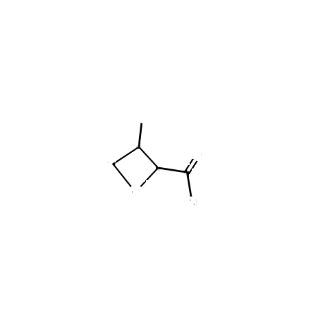 NC(=O)C1OCC1C(F)(F)F